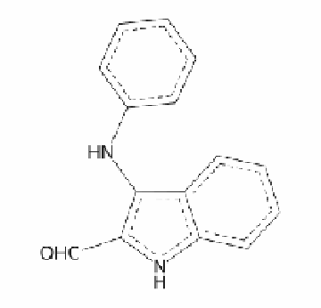 O=Cc1[nH]c2ccccc2c1Nc1ccccc1